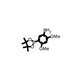 COc1cc(OC)c(B2OC(C)(C)C(C)(C)O2)cc1N